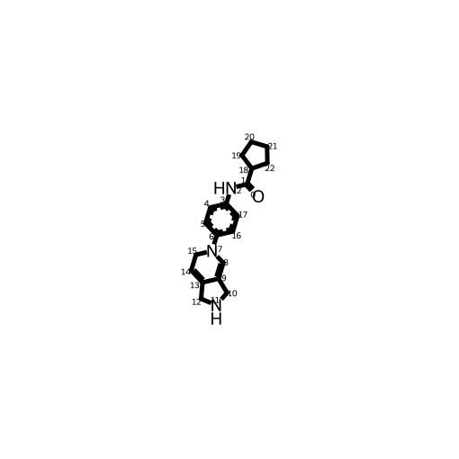 O=C(Nc1ccc(N2C=C3CNCC3=CC2)cc1)C1CCCC1